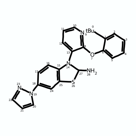 CC(C)(C)c1ccccc1Oc1ncccc1N1c2ccc(-n3cccn3)cc2SC1N